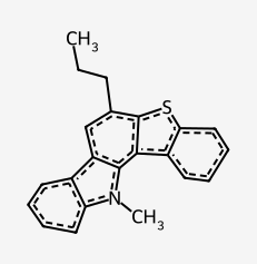 CCCc1cc2c3ccccc3n(C)c2c2c1sc1ccccc12